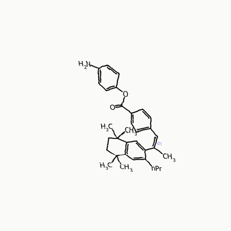 CCCc1cc2c(cc1/C(C)=C\c1ccc(C(=O)Oc3ccc(N)cc3)cc1)C(C)(C)CCC2(C)C